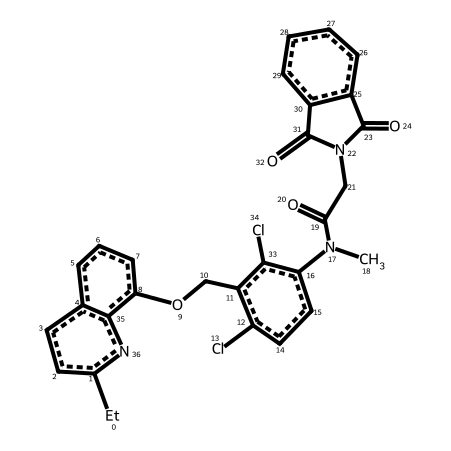 CCc1ccc2cccc(OCc3c(Cl)ccc(N(C)C(=O)CN4C(=O)c5ccccc5C4=O)c3Cl)c2n1